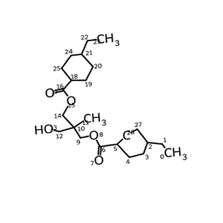 CCC1CCC(C(=O)OCC(C)(CO)COC(=O)C2CCC(CC)CC2)CC1